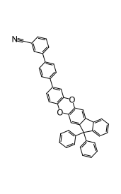 N#Cc1cccc(-c2ccc(-c3ccc4c(c3)Oc3cc5c(cc3O4)C(c3ccccc3)(c3ccccc3)c3ccccc3-5)cc2)c1